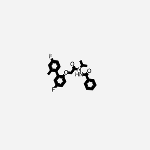 Cc1cc(F)ccc1-c1cc(F)ccc1OCC(=O)N(NC(=O)c1ccccc1)C(C)C